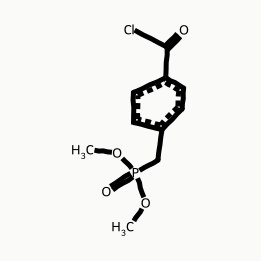 COP(=O)(Cc1ccc(C(=O)Cl)cc1)OC